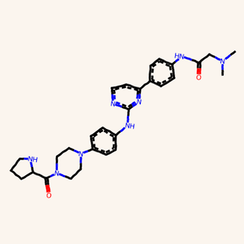 CN(C)CC(=O)Nc1ccc(-c2ccnc(Nc3ccc(N4CCN(C(=O)C5CCCN5)CC4)cc3)n2)cc1